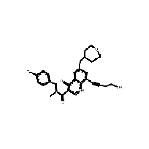 CN(Cc1ccc(Cl)cc1)C(=O)c1n[nH]c2c(C#CCCO)cc(CC3CCOCC3)cc2c1=O